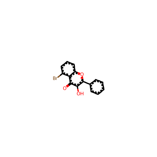 O=c1c(O)c(-c2ccccc2)oc2cccc(Br)c12